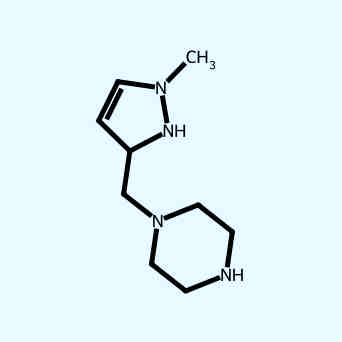 CN1C=CC(CN2CCNCC2)N1